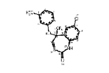 Cc1cccc(O[C@@]2(C(F)(F)F)C=NC(=O)Nc3ccc(Cl)cc32)c1